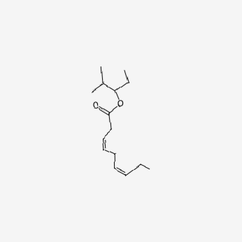 CC/C=C\C/C=C\CC(=O)OC(CC)C(C)C